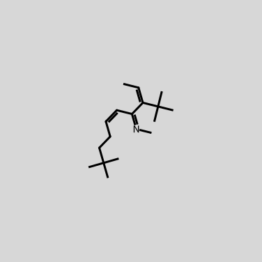 C\C=C(C(/C=C\CCC(C)(C)C)=N\C)\C(C)(C)C